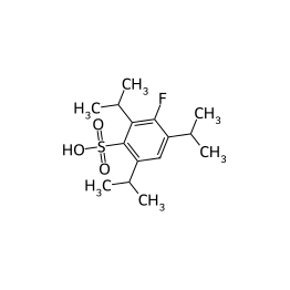 CC(C)c1cc(C(C)C)c(S(=O)(=O)O)c(C(C)C)c1F